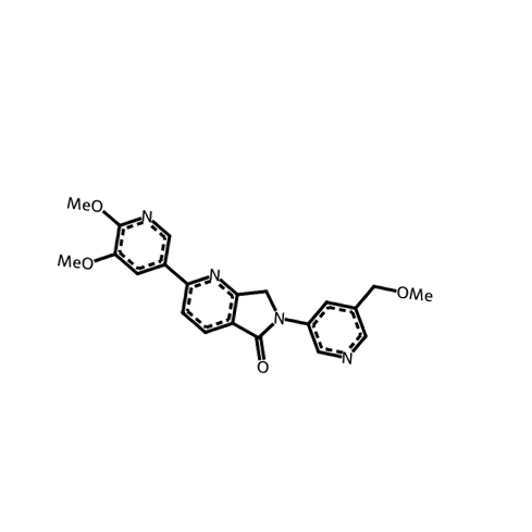 COCc1cncc(N2Cc3nc(-c4cnc(OC)c(OC)c4)ccc3C2=O)c1